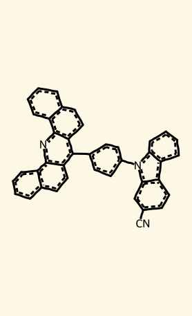 N#Cc1ccc2c3ccccc3n(-c3ccc(-c4c5ccc6ccccc6c5nc5c4ccc4ccccc45)cc3)c2c1